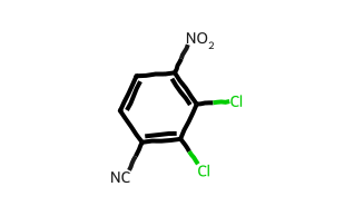 N#Cc1ccc([N+](=O)[O-])c(Cl)c1Cl